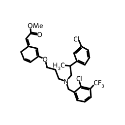 COC(=O)C=C1C=C(OCCCN(Cc2cccc(C(F)(F)F)c2Cl)CC(C)c2cccc(Cl)c2)C=CC1